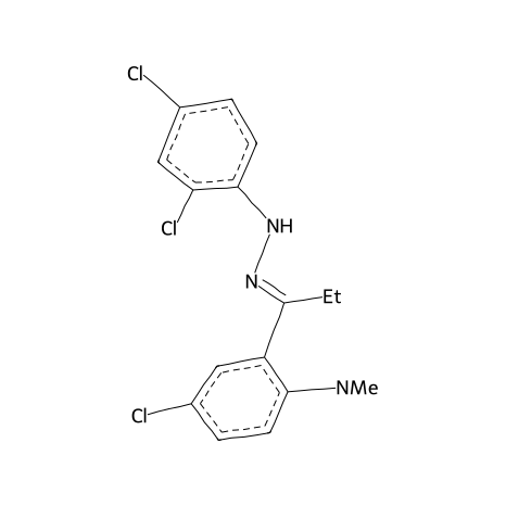 CC/C(=N\Nc1ccc(Cl)cc1Cl)c1cc(Cl)ccc1NC